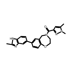 Cc1nc2cc(-c3ccc4c(c3)CN(C(=O)c3cc(C)n(C)n3)CCO4)ccc2[nH]1